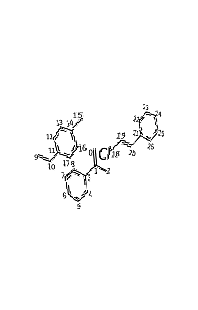 C=C(C)c1ccccc1.C=Cc1ccc(C)cc1.ClC=Cc1ccccc1